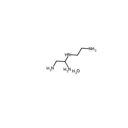 NCCNC(N)CN.O